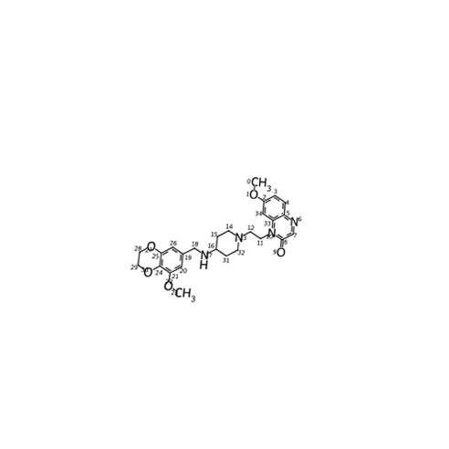 COc1ccc2ncc(=O)n(CCN3CCC(NCc4cc(OC)c5c(c4)OCCO5)CC3)c2c1